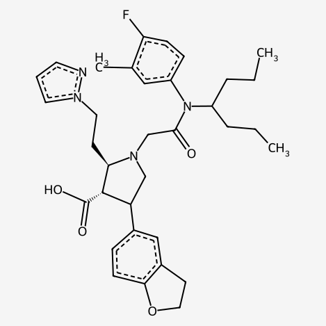 CCCC(CCC)N(C(=O)CN1CC(c2ccc3c(c2)CCO3)[C@H](C(=O)O)[C@H]1CCn1cccn1)c1ccc(F)c(C)c1